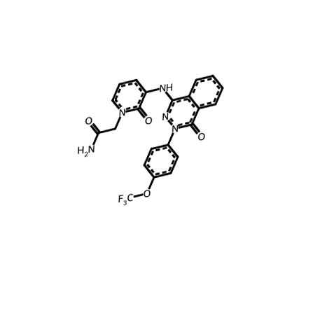 NC(=O)Cn1cccc(Nc2nn(-c3ccc(OC(F)(F)F)cc3)c(=O)c3ccccc23)c1=O